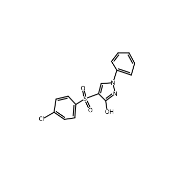 O=S(=O)(c1ccc(Cl)cc1)c1cn(-c2ccccc2)nc1O